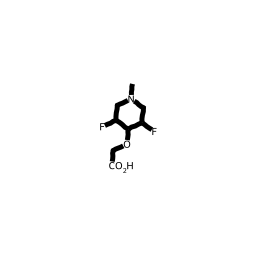 CN1CC(F)C(OCC(=O)O)C(F)C1